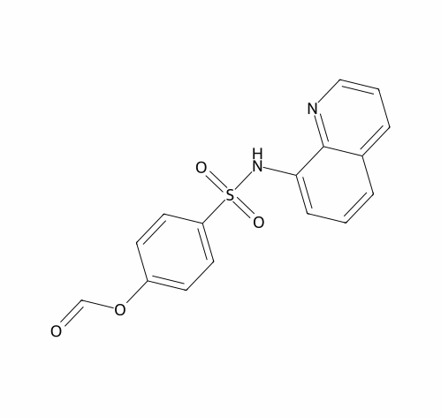 O=COc1ccc(S(=O)(=O)Nc2cccc3cccnc23)cc1